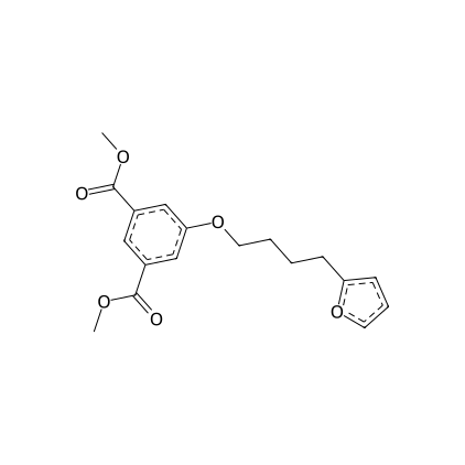 COC(=O)c1cc(OCCCCc2ccco2)cc(C(=O)OC)c1